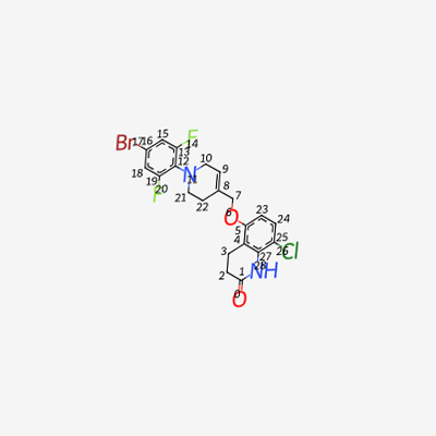 O=C1CCc2c(OCC3=CCN(c4c(F)cc(Br)cc4F)CC3)ccc(Cl)c2N1